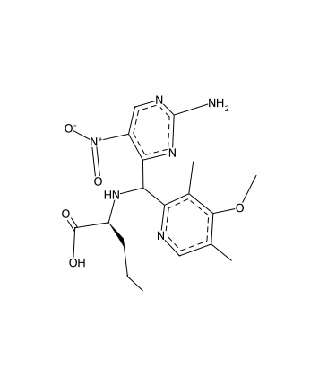 CCC[C@H](NC(c1nc(N)ncc1[N+](=O)[O-])c1ncc(C)c(OC)c1C)C(=O)O